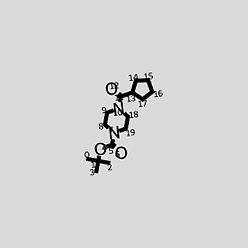 CC(C)(C)OC(=O)N1CCN(C(=O)C2CCCC2)CC1